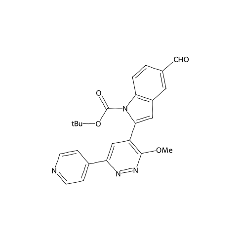 COc1nnc(-c2ccncc2)cc1-c1cc2cc(C=O)ccc2n1C(=O)OC(C)(C)C